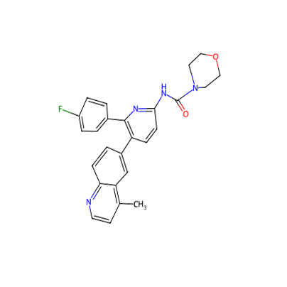 Cc1ccnc2ccc(-c3ccc(NC(=O)N4CCOCC4)nc3-c3ccc(F)cc3)cc12